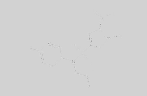 CC(C)CN(c1ccc(Cl)cc1)S(=O)(=O)c1cc([N+](=O)[O-])c(Cl)s1